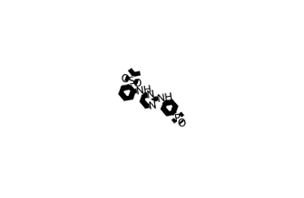 CC(C)S(=O)(=O)c1ccccc1Nc1ccnc(Nc2ccc(P(C)(C)=O)cc2)n1